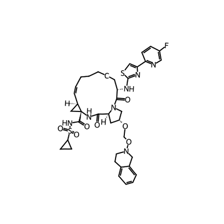 O=C1N[C@]2(C(=O)NS(=O)(=O)C3CC3)C[C@H]2/C=C\CCCCC[C@H](Nc2nc(-c3ccc(F)cn3)cs2)C(=O)N2C[C@H](OCON3CCc4ccccc4C3)C[C@@H]12